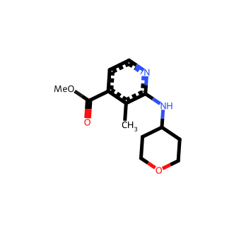 COC(=O)c1ccnc(NC2CCOCC2)c1C